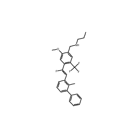 CCCNCc1cc(C(F)(F)F)c(/C(F)=C/c2cccc(-c3ccccc3)c2C)cc1OC